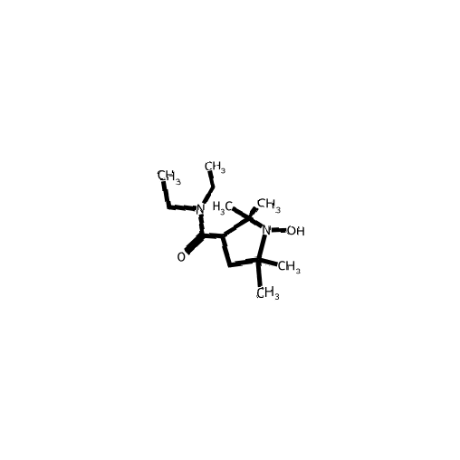 CCN(CC)C(=O)C1CC(C)(C)N(O)C1(C)C